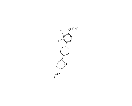 C/C=C/C1CCC(C2CCC(c3ccc(OCCC)c(F)c3F)CC2)OC1